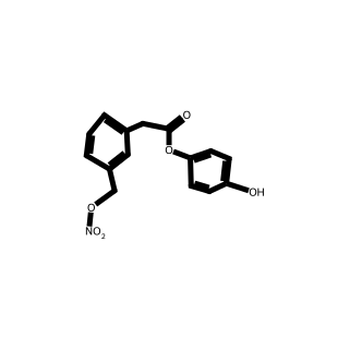 O=C(Cc1cccc(CO[N+](=O)[O-])c1)Oc1ccc(O)cc1